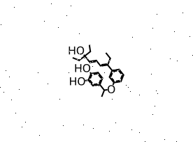 CCC(=CC=CC(O)(CC)CC)c1cccc(OC(C)c2ccc(O)c(O)c2)c1